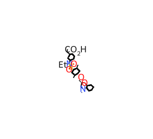 CCN(c1cccc(CC(=O)O)c1)S(=O)(=O)c1cc(C)c(OC[C@@H]2CN(C)c3ccccc3O2)cc1C